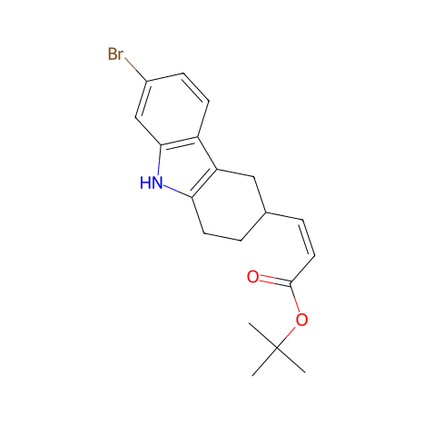 CC(C)(C)OC(=O)/C=C\C1CCc2[nH]c3cc(Br)ccc3c2C1